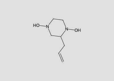 C=CCC1CN(O)CCN1O